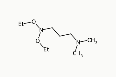 CCON(CCCN(C)C)OCC